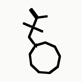 C=C(C)[Si](C)(C)CN1CCCCCCCC1